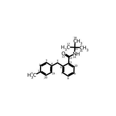 Cc1ccc(Cc2ccccc2C(=O)NC(C)(C)C)cc1